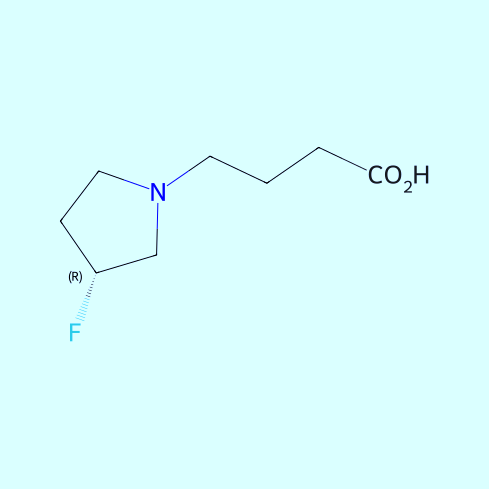 O=C(O)CCCN1CC[C@@H](F)C1